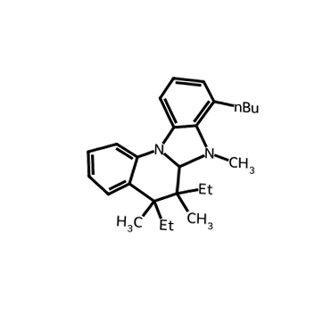 CCCCc1cccc2c1N(C)C1N2c2ccccc2C(C)(CC)C1(C)CC